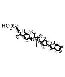 CC(C)CC(Nc1ccc(C(=O)NC=CC(=O)O)cc1)C(=O)Nc1ccc(-c2cc3ccccc3o2)cc1